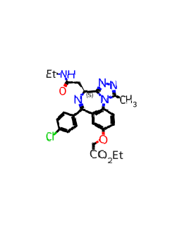 CCNC(=O)C[C@@H]1N=C(c2ccc(Cl)cc2)c2cc(OCC(=O)OCC)ccc2-n2c(C)nnc21